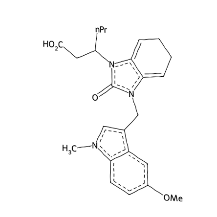 CCCC(CC(=O)O)n1c2c(n(Cc3cn(C)c4ccc(OC)cc34)c1=O)=CCCC=2